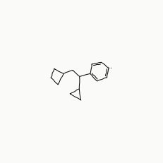 [c]1ccc(C(CC2CCC2)C2CC2)cc1